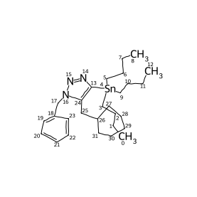 CCC[CH2][Sn]([CH2]CCC)([CH2]CCC)[c]1nnn(Cc2ccccc2)c1CC1CCCCC1